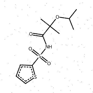 CC(C)OC(C)(C)C(=O)NS(=O)(=O)c1cccs1